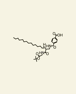 CCCCCCCCCCCCCCNC(CNC(=O)c1ccc(C(=O)O)cc1)C(=O)NCC(=O)OC(C)(C)C